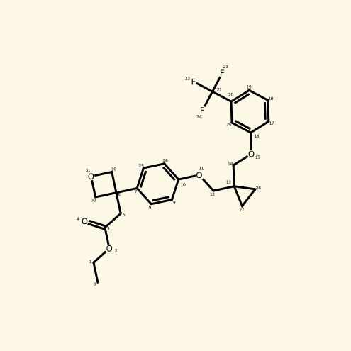 CCOC(=O)CC1(c2ccc(OCC3(COc4cccc(C(F)(F)F)c4)CC3)cc2)COC1